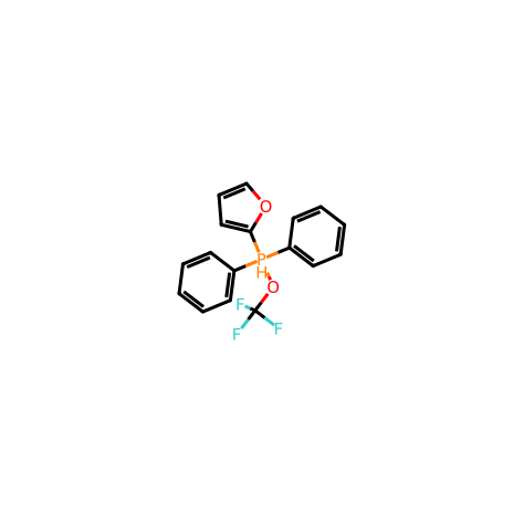 FC(F)(F)O[PH](c1ccccc1)(c1ccccc1)c1ccco1